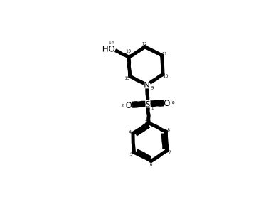 O=S(=O)(c1ccccc1)N1CCCC(O)C1